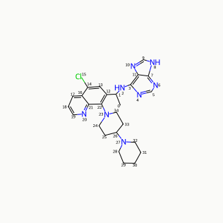 CC(Nc1ncnc2[nH]cnc12)c1cc(Cl)c2cccnc2c1N1CCC(N2CCCCC2)CC1